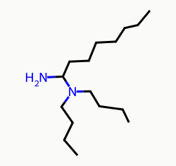 CCCCCCCC(N)N(CCCC)CCCC